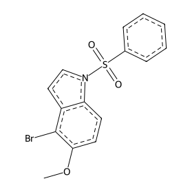 COc1ccc2c(ccn2S(=O)(=O)c2ccccc2)c1Br